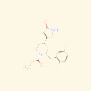 COC(=O)N1CC[C@@H](c2cc(=O)[nH]o2)C[C@H]1Cc1cc(F)ccc1F